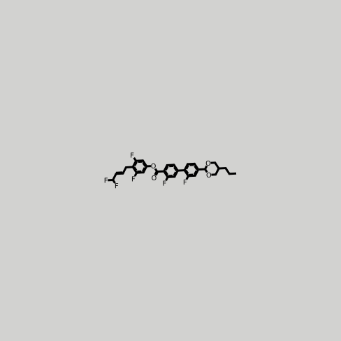 CCCC1COC(c2ccc(-c3ccc(C(=O)Oc4cc(F)c(C/C=C/C(F)F)c(F)c4)c(F)c3)c(F)c2)OC1